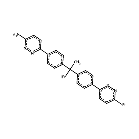 CC(C)c1ccc(-c2ccc(C(C)(c3ccc(-c4ccc(N)nn4)cc3)C(C)C)cc2)nn1